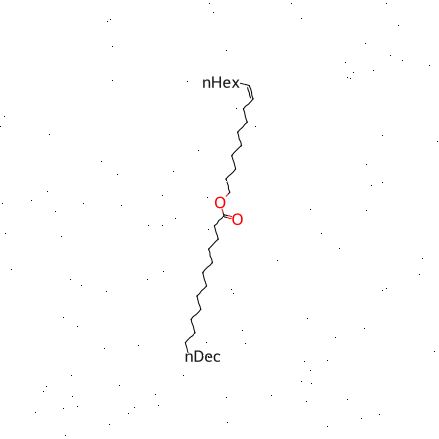 CCCCCC/C=C\CCCCCCCCOC(=O)CCCCCCCCCCCCCCCCCCCCC